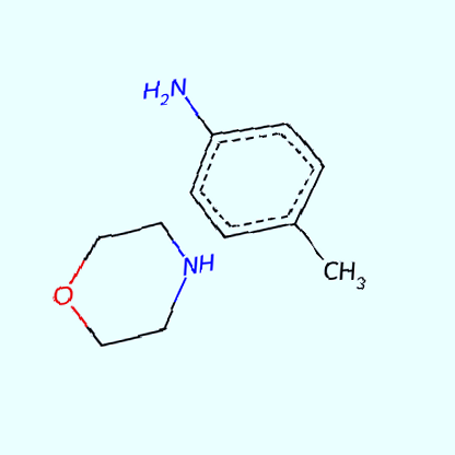 C1COCCN1.Cc1ccc(N)cc1